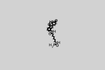 O=C(P)NCCCCCCC(=O)Nc1cccc2c1CN(C1CCC(=O)NC1=O)C2=O